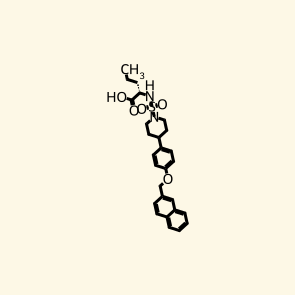 CCC[C@H](NS(=O)(=O)N1CCC(c2ccc(OCc3ccc4ccccc4c3)cc2)CC1)C(=O)O